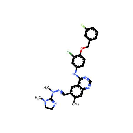 COc1cc2ncnc(Nc3ccc(OCc4cccc(F)c4)c(Cl)c3)c2cc1/C=N/N(C)C1=NCCN1C